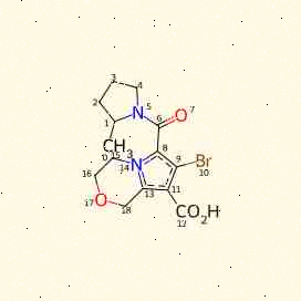 CC1CCCN1C(=O)c1c(Br)c(C(=O)O)c2n1CCOC2